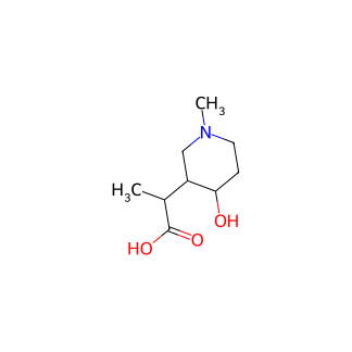 CC(C(=O)O)C1CN(C)CCC1O